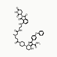 CN(CCC(=O)N1CCC([C@@H]2CCNc3c(C(N)=O)c(-c4ccc(Oc5ccccc5)cc4)nn32)CC1)CC(=O)NCCNc1cccc2c1C(=O)N(C1CCC(=O)NC1=O)C2=O